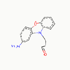 Nc1ccc2c(c1)N(CC=O)c1ccccc1O2